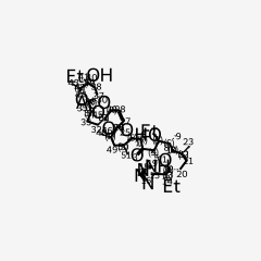 CC[C@@H](C(=O)[C@@H](C)[C@@H](O)[C@H](C)[C@@H]1O[C@@H]([C@@H](CC)c2nnn[nH]2)CC[C@@H]1C)[C@H]1O[C@]2(C=C[C@@H](OC(C)=O)[C@]3(CC[C@@](C)([C@H]4CC[C@](O)(CC)[C@H](C)O4)O3)O2)[C@H](C)C[C@@H]1C